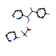 CC(c1ccc(Cl)cc1)C(CNC(=O)C(C)(C)Oc1ccccn1)c1cccnc1